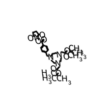 CC(C)(C)OC(=O)CN1CCN(CC(=O)OC(C)(C)C)CCN(Cc2ccc(C(=O)ON3C(=O)CCC3=O)cc2)CC1